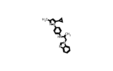 C=C(Cn1cnc2ccccc21)Nc1ccc(-n2nc(C)cc2C2CC2)cc1